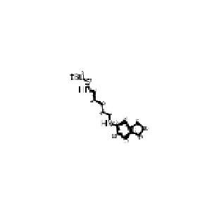 CC(C)(C)SNCCCCCNc1ccc2c(c1)CCC2